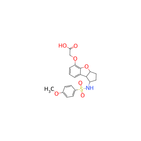 COc1ccc(S(=O)(=O)NC2CCC3Oc4c(OCC(=O)O)cccc4C23)cc1